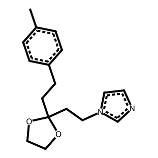 Cc1ccc(CCC2(CCn3ccnc3)OCCO2)cc1